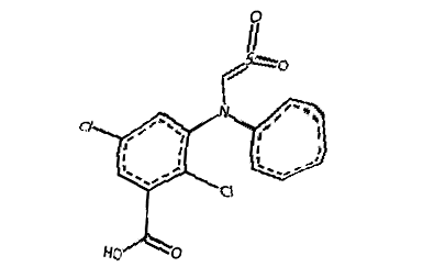 O=C(O)c1cc(Cl)cc(N(C=S(=O)=O)c2ccccc2)c1Cl